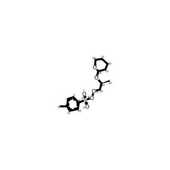 Cc1ccc(S(=O)(=O)OOC[C@H](C)OC2CCCCO2)cc1